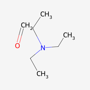 C=O.CCN(CC)CC